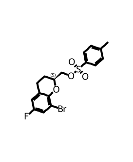 Cc1ccc(S(=O)(=O)OC[C@@H]2CCc3cc(F)cc(Br)c3O2)cc1